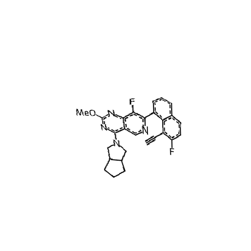 C#Cc1c(F)ccc2cccc(-c3ncc4c(N5CC6CCCC6C5)nc(OC)nc4c3F)c12